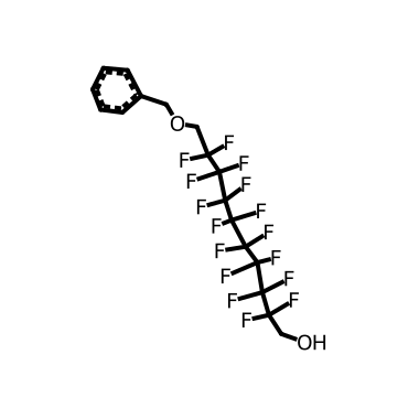 OCC(F)(F)C(F)(F)C(F)(F)C(F)(F)C(F)(F)C(F)(F)C(F)(F)C(F)(F)COCc1ccccc1